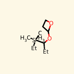 CCC(OC1CCO1)[Si](C)(C)CC